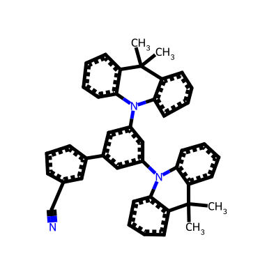 CC1(C)c2ccccc2N(c2cc(-c3cccc(C#N)c3)cc(N3c4ccccc4C(C)(C)c4ccccc43)c2)c2ccccc21